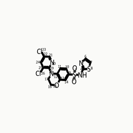 O=S(=O)(Nc1nccs1)c1ccc2c(c1)OCCN2c1ncc(Cl)cc1Cl